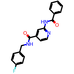 O=C(NCc1ccc(F)cc1)c1ccnc(NC(=O)c2ccccc2)c1